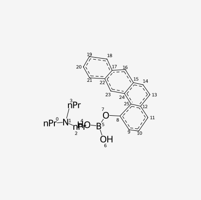 CCCN(CCC)CCC.OB(O)Oc1cccc2ccc3cc4ccccc4cc3c12